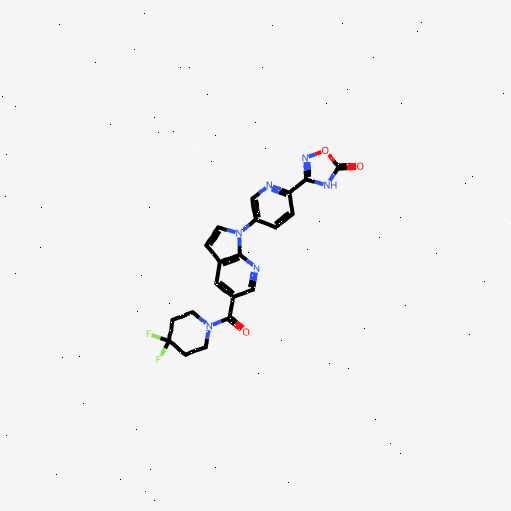 O=C(c1cnc2c(ccn2-c2ccc(-c3noc(=O)[nH]3)nc2)c1)N1CCC(F)(F)CC1